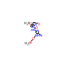 COCCOCCNc1cc(NC(=O)N2c3nc(C=O)ccc3C3(OC)CC2C3)ncc1C#N